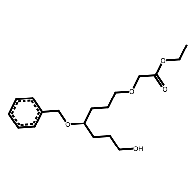 CCOC(=O)COCCCC(CCCO)OCc1ccccc1